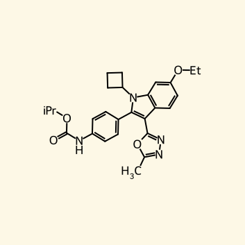 CCOc1ccc2c(-c3nnc(C)o3)c(-c3ccc(NC(=O)OC(C)C)cc3)n(C3CCC3)c2c1